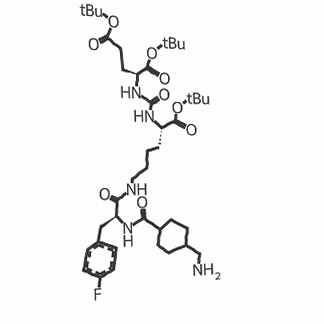 CC(C)(C)OC(=O)CC[C@H](NC(=O)N[C@@H](CCCCNC(=O)[C@H](Cc1ccc(F)cc1)NC(=O)C1CCC(CN)CC1)C(=O)OC(C)(C)C)C(=O)OC(C)(C)C